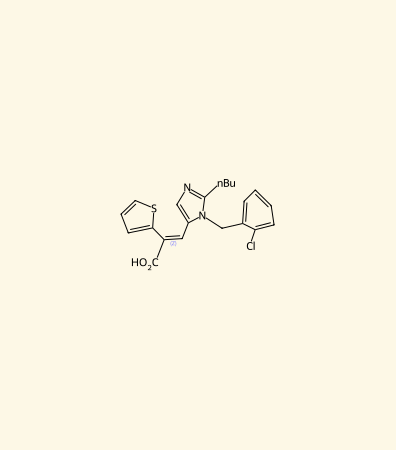 CCCCc1ncc(/C=C(/C(=O)O)c2cccs2)n1Cc1ccccc1Cl